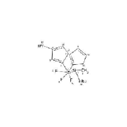 CCCC[Si](C)=[Zr]([F])([F])([F])([C]1=CC=CC1)[C]1=CC(CCC)=CC1